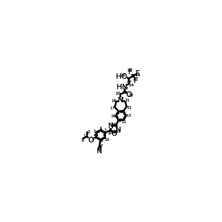 CC(C)Oc1ccc(-c2nc(-c3ccc4c(c3)CCN(CC(=O)NCC(O)C(F)(F)F)CC4)no2)cc1C#N